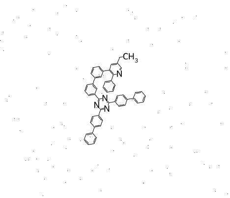 CCc1cnc(-c2ccccc2)c(-c2cccc(-c3cccc(-c4nc(-c5ccc(-c6ccccc6)cc5)nc(-c5ccc(-c6ccccc6)cc5)n4)c3)c2)c1